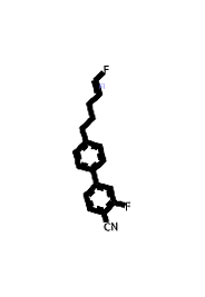 N#Cc1ccc(-c2ccc(CCC/C=C/F)cc2)cc1F